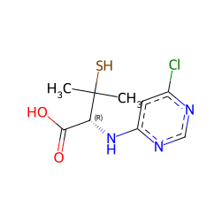 CC(C)(S)[C@H](Nc1cc(Cl)ncn1)C(=O)O